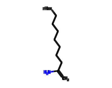 C=C(N)CCCCCCCCCCCCC